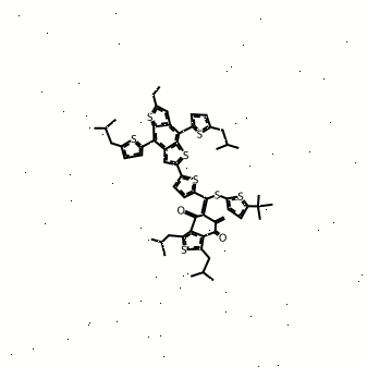 C=C1C(=O)c2c(CC(C)C)sc(CC(C)C)c2C(=O)/C1=C(/Sc1ccc(C(C)(C)C)s1)c1ccc(-c2cc3c(-c4ccc(CC(C)C)s4)c4sc(CC)cc4c(-c4ccc(CC(C)C)s4)c3s2)s1